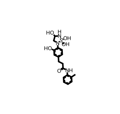 Cc1ccccc1NC(=O)CCc1ccc(N2CC(O)NS2(O)O)c(O)c1